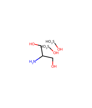 NC(CO)CO.O=S(=O)(O)O.O=S(=O)(O)O